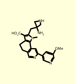 COc1cncc(-c2cc3c(cn2)CCc2c(C(=O)O)c(CC4(N)CNC4)n(C)c2-3)c1